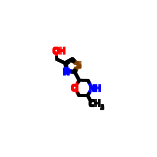 CC1COC(c2nc(CO)cs2)CN1